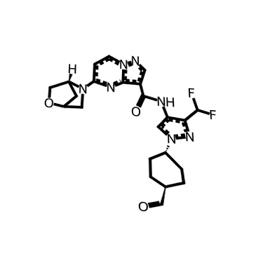 O=C[C@H]1CC[C@H](n2cc(NC(=O)c3cnn4ccc(N5CC6C[C@@H]5CO6)nc34)c(C(F)F)n2)CC1